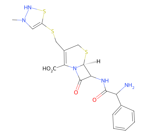 CN1C=C(SCC2=C(C(=O)O)N3C(=O)C(NC(=O)C(N)c4ccccc4)[C@@H]3SC2)SN1